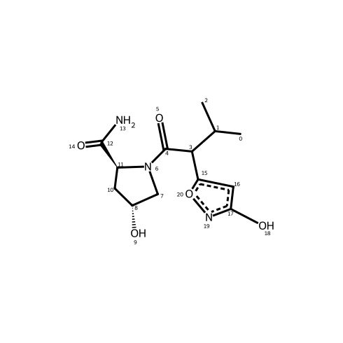 CC(C)C(C(=O)N1C[C@H](O)C[C@H]1C(N)=O)c1cc(O)no1